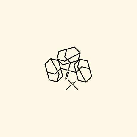 C[Si](C)(C)N=P(C12CC3CC(CC(C3)C1)C2)(C12CC3CC(CC(C3)C1)C2)C12CC3CC(CC(C3)C1)C2